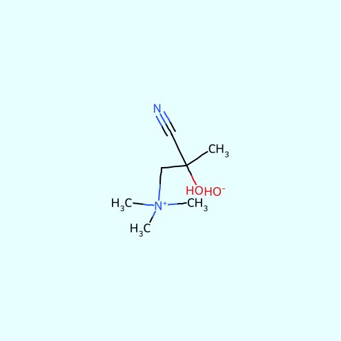 CC(O)(C#N)C[N+](C)(C)C.[OH-]